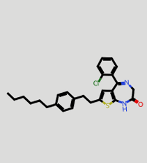 CCCCCCc1ccc(CCc2cc3c(s2)NC(=O)CN=C3c2ccccc2Cl)cc1